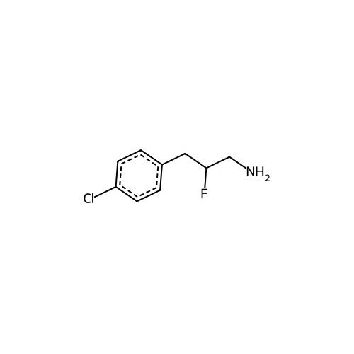 NCC(F)Cc1ccc(Cl)cc1